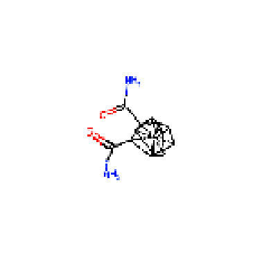 NC(=O)[C]12[CH]3[CH]4[CH]5[C]1(C(N)=O)[Fe]43521678[CH]2[CH]1[CH]6[CH]7[CH]28